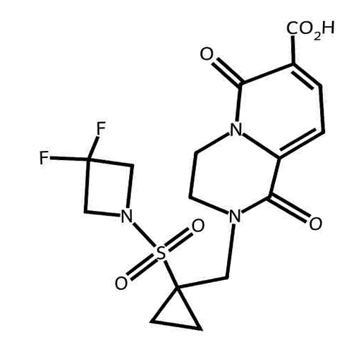 O=C(O)c1ccc2n(c1=O)CCN(CC1(S(=O)(=O)N3CC(F)(F)C3)CC1)C2=O